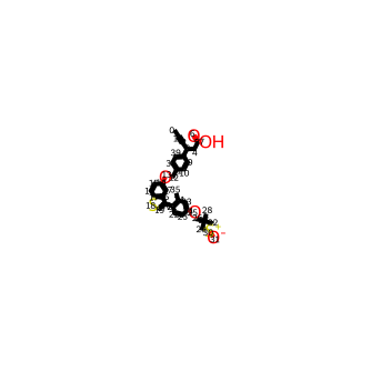 CC#CC(CC(=O)O)c1ccc(COc2ccc3scc(-c4ccc(OCC5(C)C[S+]([O-])C5)cc4C)c3c2)cc1